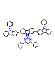 c1ccc(-c2cc(-c3ccccc3)nc(-n3c4cc(-c5ccc6c7ccccc7n(-c7ccccc7)c6c5)ccc4c4ccc(-c5ccc6c7ccccc7n(-c7ccccc7)c6c5)cc43)n2)cc1